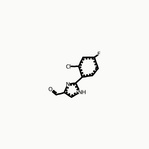 O=Cc1c[nH]c(-c2ccc(F)cc2Cl)n1